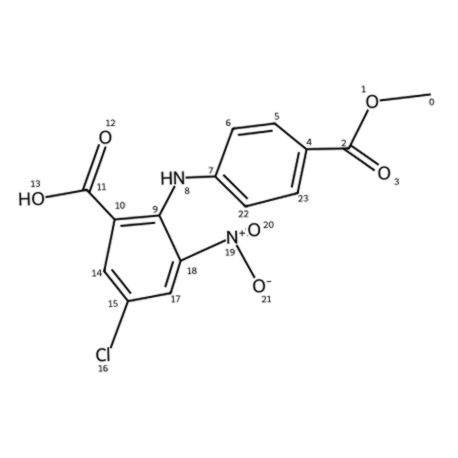 COC(=O)c1ccc(Nc2c(C(=O)O)cc(Cl)cc2[N+](=O)[O-])cc1